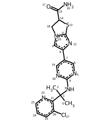 CC(C)(Nc1ncc(-c2cn3c(n2)SC(C(N)=O)C3)cn1)c1ncccc1Cl